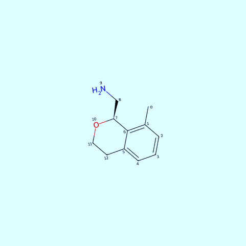 Cc1cccc2c1[C@H](CN)OCC2